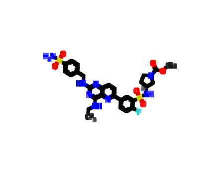 CC(C)(C)OC(=O)N1CC[C@@H](NS(=O)(=O)c2cc(-c3ccc4nc(NCc5ccc(S(N)(=O)=O)cc5)nc(NCC(F)(F)F)c4n3)ccc2F)C1